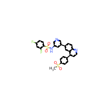 CS(=O)(=O)c1ccc(-c2ccnc3ccc(-c4cncc(NS(=O)(=O)c5ccc(F)cc5F)c4)cc23)cc1